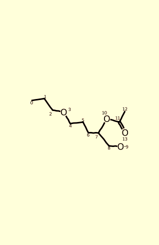 CCCOCCCC(C[O])OC(C)=O